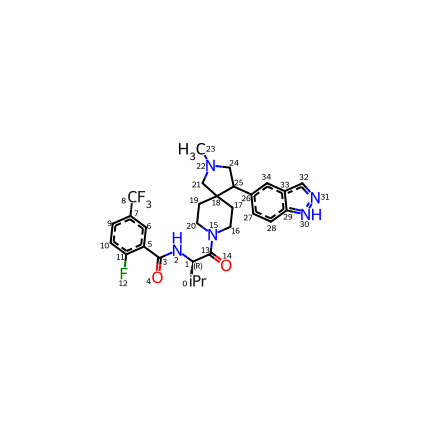 CC(C)[C@@H](NC(=O)c1cc(C(F)(F)F)ccc1F)C(=O)N1CCC2(CC1)CN(C)CC2c1ccc2[nH]ncc2c1